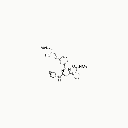 CNCC(O)COc1cccc(-c2nc(N[C@@H]3CCOC3)c(C)c(N3CCC[C@@H]3C(=O)NC)n2)c1